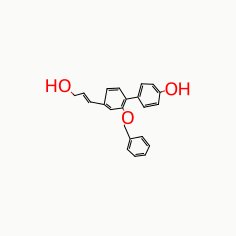 OCC=Cc1ccc(-c2ccc(O)cc2)c(OCc2ccccc2)c1